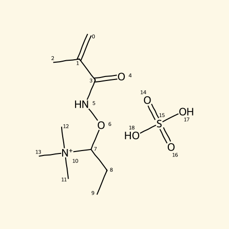 C=C(C)C(=O)NOC(CC)[N+](C)(C)C.O=S(=O)(O)O